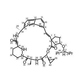 CC(C)[SiH](OC1CCC2(/C=C/c3ccc4ccc(nc4c3)[C@@H](C)NC(=O)[C@@H]3CCCN(N3)C(=O)[C@H](C)NC(=O)[C@H](C3CC3)OC2=O)C1)C(C)C